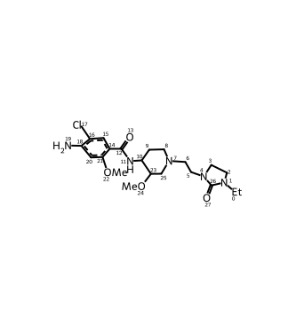 CCN1CCN(CCN2CCC(NC(=O)c3cc(Cl)c(N)cc3OC)C(OC)C2)C1=O